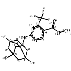 COC(=O)c1cnc(NC23CC4(F)CC(F)(CC(F)(C4)C2)C3)nc1C(F)(F)F